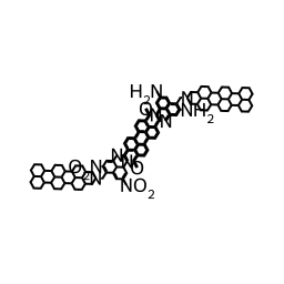 Nc1cc2c(CN3CC4CCC5C6CCC7C8CCCC9CCCC(C%10CCC(C%11CCC(C3)C4C5%11)C6C7%10)C98)c(N)cc3nc4c5ccc6c7ccc8c(=O)n9c(c%10ccc(c%11ccc(c(=O)n4c(c1)c32)c5c%116)c7c8%10)=NC1=CC([N+](=O)[O-])=C(CN2CC3CCC4C5CCC6C7CCCC8CCCC(C%10CCC(C%11CCC(C2)C3C4%11)C5C6%10)C87)C2=CC([N+](=O)[O-])=CC9C12